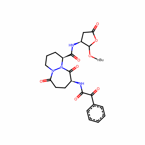 CCCCOC1OC(=O)C[C@@H]1NC(=O)[C@@H]1CCCN2C(=O)CC[C@H](NC(=O)C(=O)c3ccccc3)C(=O)N12